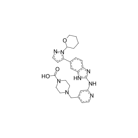 O=C(O)N1CCN(Cc2ccnc(Nc3nc4ccc(-c5ccnn5C5CCCCO5)cc4[nH]3)c2)CC1